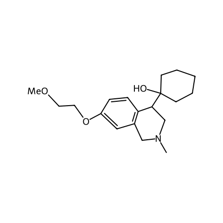 COCCOc1ccc2c(c1)CN(C)CC2C1(O)CCCCC1